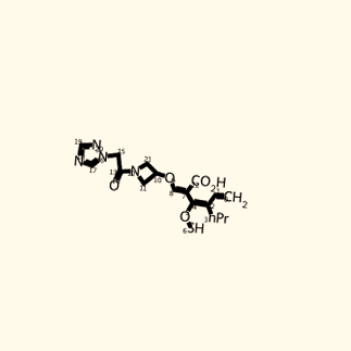 C=C/C(CCC)=C(OS)\C(=C\OC1CN(C(=O)Cn2cncn2)C1)C(=O)O